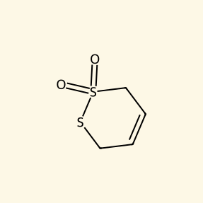 O=S1(=O)CC=CCS1